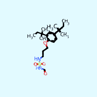 CCC(C)(C)c1ccc(OCCCNS(=O)(=O)NC=O)c(C(C)(C)CC)c1